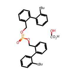 CC(C)(C)c1ccccc1-c1ccccc1CO[PH](=O)OCc1ccccc1-c1ccccc1C(C)(C)C.O=C(O)O